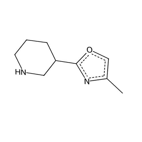 Cc1coc(C2CCCNC2)n1